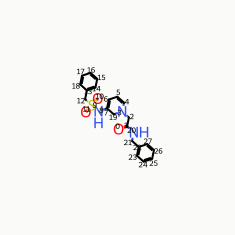 O=C(CN1C=CC=C(NS(=O)(=O)Cc2ccccc2)C1)NCc1ccccc1